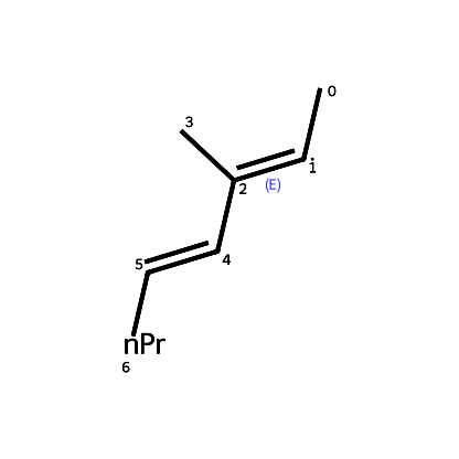 C/[C]=C(\C)C=CCCC